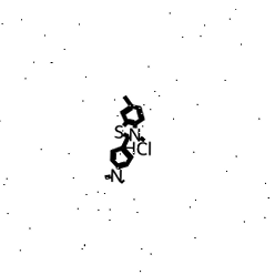 Cc1ccc2c(c1)SC(c1ccc(N(C)C)cc1)N2C.Cl